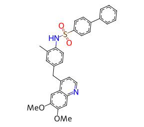 COc1cc2nccc(Cc3ccc(NS(=O)(=O)c4ccc(-c5ccccc5)cc4)c(C)c3)c2cc1OC